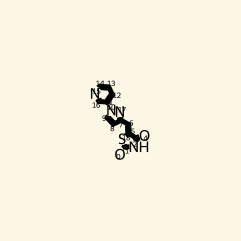 O=C1NC(=O)/C(=C/c2ccn(-c3cccnc3)n2)S1